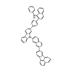 c1ccc(Nc2c(-c3ccc(-c4ccc5c6ccccc6n(-c6ccc7ccc(-c8ccc9c(c8)-c8cccc%10cccc-9c8%10)cc7c6)c5c4)cc3)ccc3ccccc23)cc1